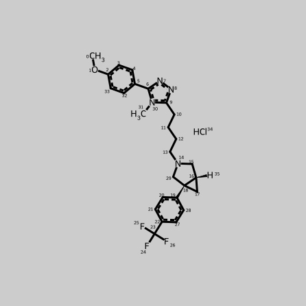 COc1ccc(-c2nnc(CCCCN3C[C@@H]4C[C@]4(c4ccc(C(F)(F)F)cc4)C3)n2C)cc1.Cl